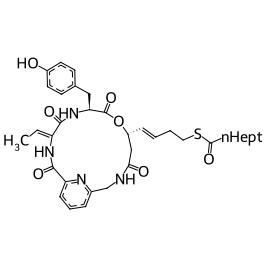 C/C=C1\NC(=O)c2cccc(n2)CNC(=O)C[C@@H](/C=C/CCSC(=O)CCCCCCC)OC(=O)[C@H](Cc2ccc(O)cc2)NC1=O